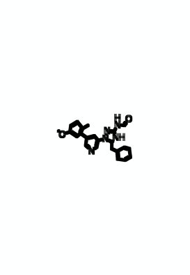 COc1ccc(C)c(-c2cncc(N3N=C(NC=O)NC3Cc3ccccc3)c2)c1